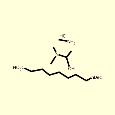 CC(O)N(C)C.CCCCCCCCCCCCCCCCCC(=O)O.CN.Cl